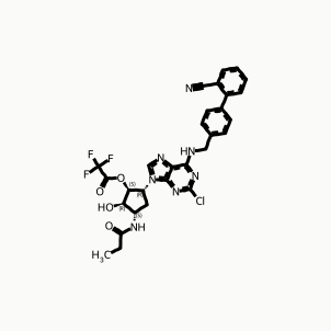 CCC(=O)N[C@H]1C[C@@H](n2cnc3c(NCc4ccc(-c5ccccc5C#N)cc4)nc(Cl)nc32)[C@H](OC(=O)C(F)(F)F)[C@@H]1O